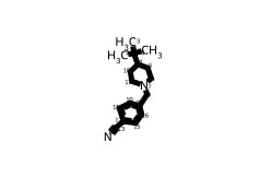 CC(C)(C)C1CCN(Cc2ccc(C#N)cc2)CC1